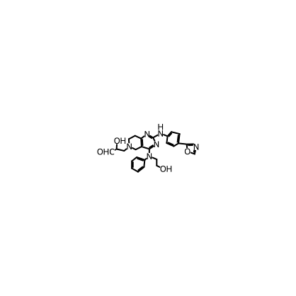 O=C[C@@H](O)CN1CCc2nc(Nc3ccc(-c4cnco4)cc3)nc(N(CCO)c3ccccc3)c2C1